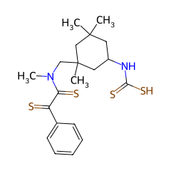 CN(CC1(C)CC(NC(=S)S)CC(C)(C)C1)C(=S)C(=S)c1ccccc1